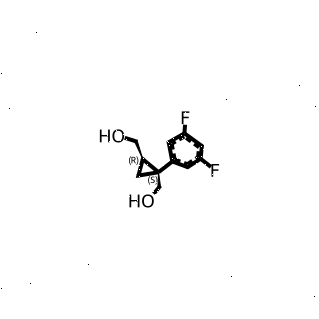 OC[C@@H]1C[C@@]1(CO)c1cc(F)cc(F)c1